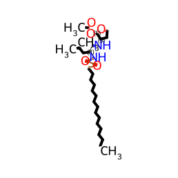 CCCCCCCCCCCCCCCCS(=O)(=O)N[C@@H](CN[C@H]1CCO[C@H]1OC(C)=O)CC(C)C